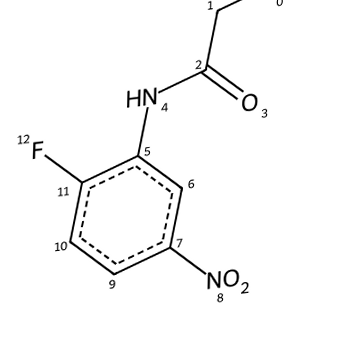 COCC(=O)Nc1cc([N+](=O)[O-])ccc1F